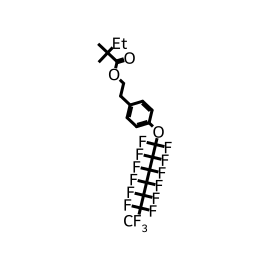 CCC(C)(C)C(=O)OCCc1ccc(OC(F)(F)C(F)(F)C(F)(F)C(F)(F)C(F)(F)C(F)(F)C(F)(F)F)cc1